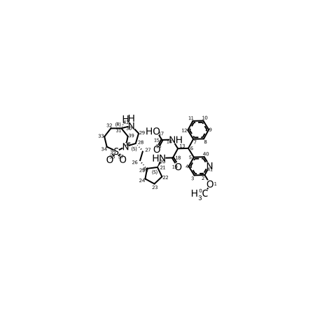 COc1ccc(C(c2ccccc2)C(NC(=O)O)C(=O)N[C@H]2CCC[C@@H]2CC[C@H]2CN[C@@H]3CCCS(=O)(=O)N2C3)cn1